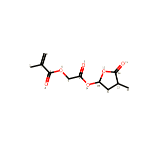 C=C(C)C(=O)OCC(=O)OC1CC(C)C(=O)O1